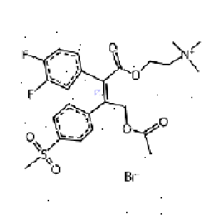 CC(=O)OC/C(=C(\C(=O)OCC[N+](C)(C)C)c1ccc(F)c(F)c1)c1ccc(S(C)(=O)=O)cc1.[Br-]